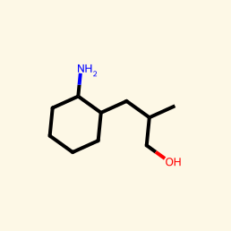 CC(CO)CC1CCCCC1N